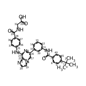 CC(C)(C)c1ccc(C(=O)Nc2cccc(-c3cn4ccnc4c(Nc4ccc(C(=O)NCC(=O)O)cc4)n3)c2)cc1